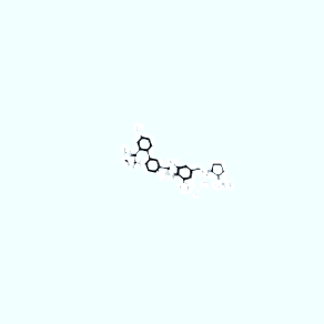 Cn1cnnc1-c1cc(F)ccc1-c1cccc(-c2nc3cc(CN[C@H]4CCC[C@@H]4O)cc(C(F)(F)F)c3[nH]2)c1